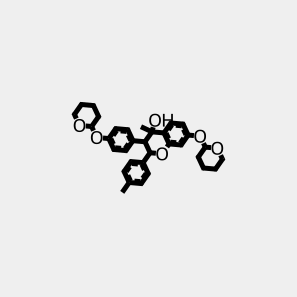 Cc1ccc(C2Oc3cc(OC4CCCCO4)ccc3C(C)(O)C2c2ccc(OC3CCCCO3)cc2)cc1